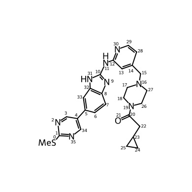 CSc1ncc(-c2ccc3nc(Nc4cc(CN5CCN(C(=O)CC6CC6)CC5)ccn4)[nH]c3c2)cn1